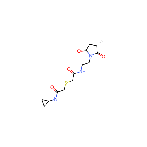 C[C@H]1CC(=O)N(CCNC(=O)CSCC(=O)NC2CC2)C1=O